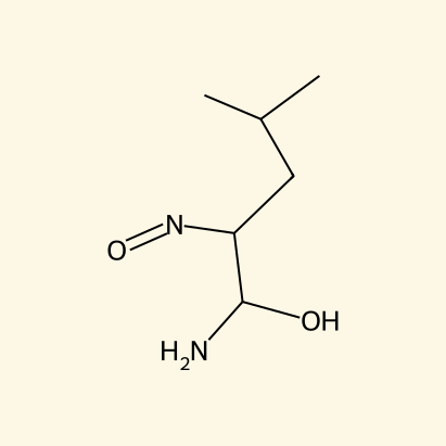 CC(C)CC(N=O)C(N)O